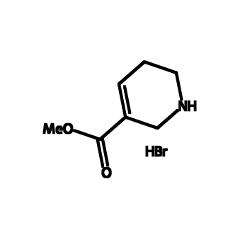 Br.COC(=O)C1=CCCNC1